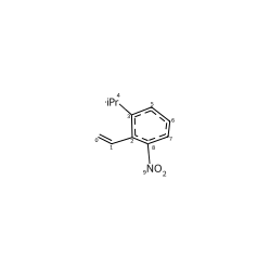 C=Cc1c([C](C)C)cccc1[N+](=O)[O-]